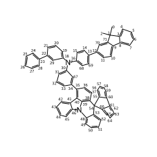 CC1(C)c2ccccc2-c2ccc(-c3ccc(N(c4cccc(-c5ccccc5)c4)c4cccc(-c5ccc6c7c5c5ccccc5n7-c5ccccc5C65c6ccccc6-c6ccccc65)c4)cc3)cc21